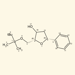 CC(C)(C)[Si](C)(C)OC[C@H]1O[C@@H](c2ccccc2)CC1O